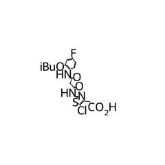 CC(C)COc1cc(F)ccc1NC(=O)CC(=O)Nc1nc(CC(=O)O)c(Cl)s1